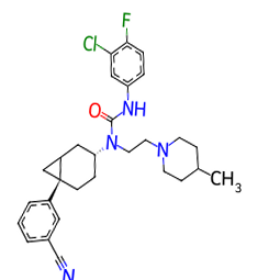 CC1CCN(CCN(C(=O)Nc2ccc(F)c(Cl)c2)[C@@H]2CC[C@]3(c4cccc(C#N)c4)CC3C2)CC1